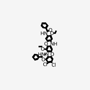 CCOc1cc2[nH]c3cc4oc5cc(Cl)c(Cl)cc5n(NC(=O)c5ccccc5)c4c(OCC)c3oc2cc1NC(=O)c1ccccc1